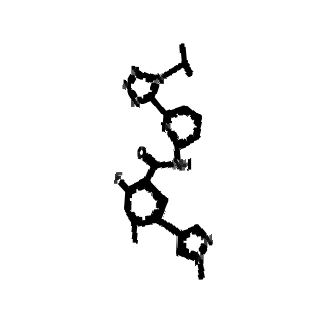 Cc1cc(F)c(C(=O)Nc2cccc(-c3nnnn3C(C)C)n2)cc1-c1cnn(C)c1